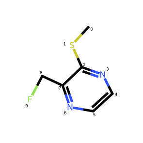 CSc1nccnc1CF